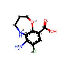 Nc1c(Cl)cc(C(=O)O)c2c1NCCCO2